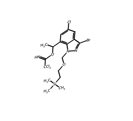 CC(OC(=N)C(Cl)(Cl)Cl)c1cc(Cl)cc2c(Br)nn(COCC[Si](C)(C)C)c12